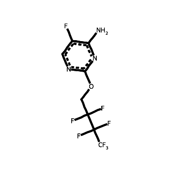 Nc1nc(OCC(F)(F)C(F)(F)C(F)(F)F)ncc1F